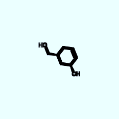 OC[C@H]1CC=C[C@@H](O)C1